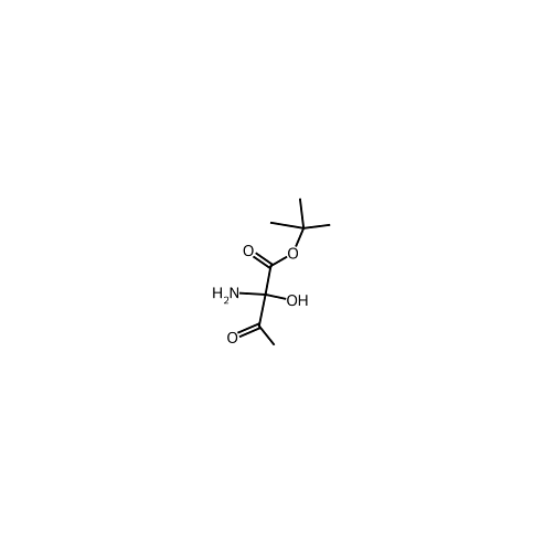 CC(=O)C(N)(O)C(=O)OC(C)(C)C